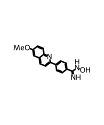 COc1ccc2nc(-c3ccc(C(=N)NO)cc3)ccc2c1